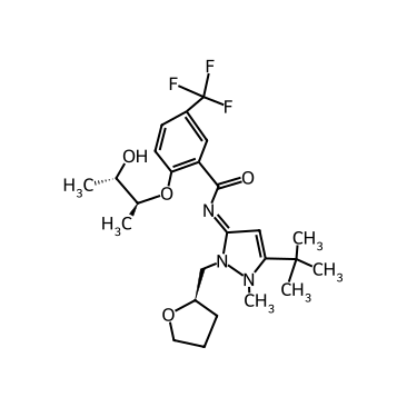 C[C@H](O)[C@H](C)Oc1ccc(C(F)(F)F)cc1C(=O)N=c1cc(C(C)(C)C)n(C)n1C[C@H]1CCCO1